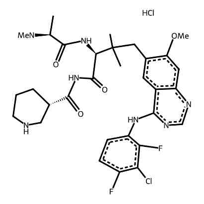 CN[C@@H](C)C(=O)N[C@H](C(=O)NC(=O)[C@H]1CCCNC1)C(C)(C)Cc1cc2c(Nc3ccc(F)c(Cl)c3F)ncnc2cc1OC.Cl